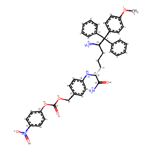 COc1ccc(C(c2ccccc2)(c2ccccc2)C(N)CCC[C@@H](Nc2ccc(COC(=O)Oc3ccc([N+](=O)[O-])cc3)cc2)C(N)=O)cc1